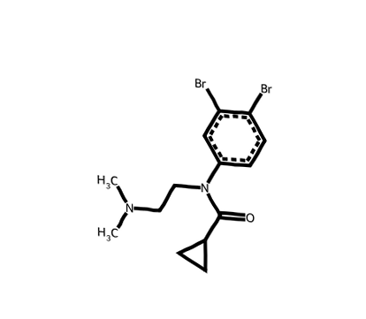 CN(C)CCN(C(=O)C1CC1)c1ccc(Br)c(Br)c1